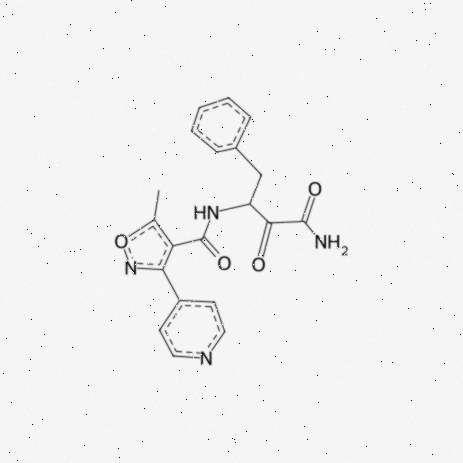 Cc1onc(-c2ccncc2)c1C(=O)NC(Cc1ccccc1)C(=O)C(N)=O